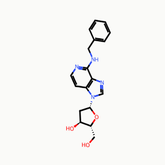 OC[C@H]1O[C@@H](n2cnc3c(NCc4ccccc4)nccc32)C[C@@H]1O